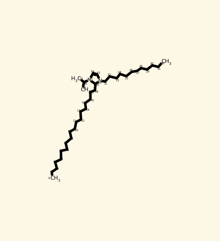 CCCCCCCCCCCCCCCCCCCC1N(CCCCCCCCCCCC)C=CN1C(C)C